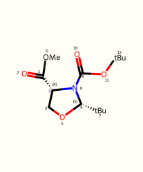 COC(=O)[C@H]1CO[C@@H](C(C)(C)C)N1C(=O)OC(C)(C)C